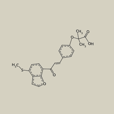 CSc1ccc(C(=O)/C=C/c2ccc(OC(C)(C)C(=O)O)cc2)c2occc12